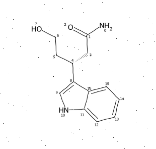 NC(=O)C[C@@H]([CH]CO)c1c[nH]c2ccccc12